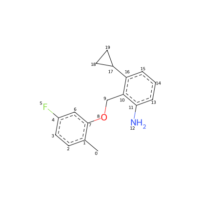 Cc1ccc(F)cc1OCc1c(N)cccc1C1CC1